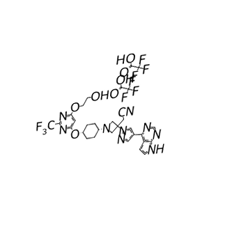 N#CCC1(n2cc(-c3ncnc4[nH]ccc34)cn2)CN([C@H]2CC[C@@H](Oc3cc(OCCO)nc(C(F)(F)F)n3)CC2)C1.O=C(O)C(F)(F)F.O=C(O)C(F)(F)F